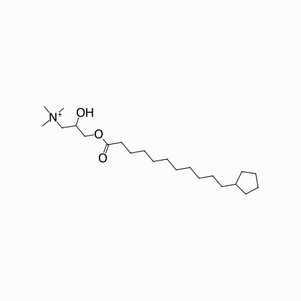 C[N+](C)(C)CC(O)COC(=O)CCCCCCCCCCC1CCCC1